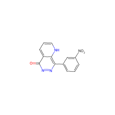 O=c1nnc(-c2cccc([N+](=O)[O-])c2)c2[nH]cccc1-2